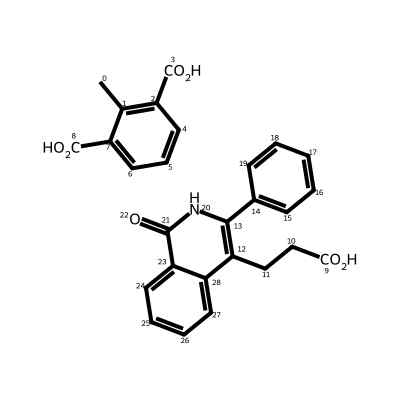 Cc1c(C(=O)O)cccc1C(=O)O.O=C(O)CCc1c(-c2ccccc2)[nH]c(=O)c2ccccc12